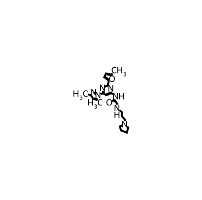 Cc1cc(C)n(-c2cc(NC(=O)CNCCCN3CCCC3)nc(-c3ccc(C)o3)n2)n1